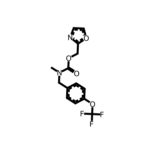 CN(Cc1ccc(OC(F)(F)F)cc1)C(=O)OCc1ncco1